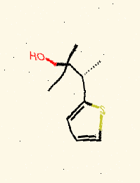 C[C@H](c1cccs1)C(C)(C)O